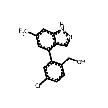 OCc1ccc(Cl)cc1-c1cc(C(F)(F)F)cc2[nH]ncc12